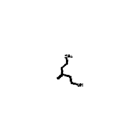 C=C(CCO)CCOC(C)=O